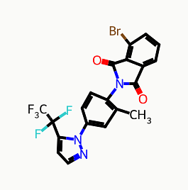 Cc1cc(-n2nccc2C(F)(F)C(F)(F)F)ccc1N1C(=O)c2cccc(Br)c2C1=O